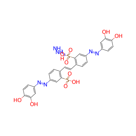 N.N.O=S(=O)(O)c1cc(N=Nc2ccc(O)c(O)c2)ccc1/C=C/c1ccc(N=Nc2ccc(O)c(O)c2)cc1S(=O)(=O)O